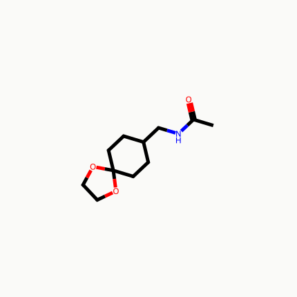 CC(=O)NCC1CCC2(CC1)OCCO2